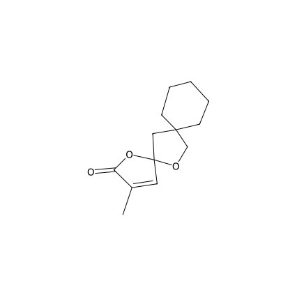 CC1=CC2(CC3(CCCCC3)CO2)OC1=O